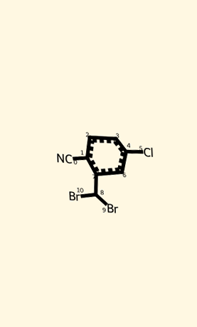 N#Cc1ccc(Cl)cc1C(Br)Br